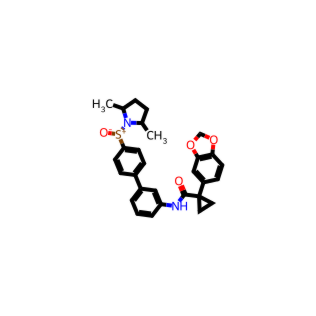 CC1CCC(C)N1[S+]([O-])c1ccc(-c2cccc(NC(=O)C3(c4ccc5c(c4)OCO5)CC3)c2)cc1